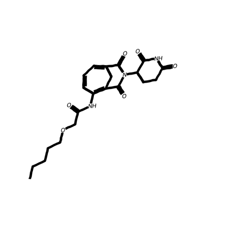 CCCCCOCC(=O)NC1=C2CC(=CC=C1)C(=O)N(C1CCC(=O)NC1=O)C2=O